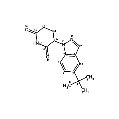 CC(C)(C)c1ccc2c(cnn2C2CCC(=O)NC2=O)c1